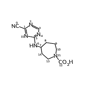 N#Cc1ncnc(NC2CCCN(C(=O)O)CC2)n1